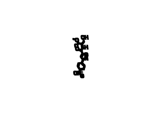 COC(=O)C(CO)NC(=O)c1cc(-c2ccc([N+](=O)[O-])cc2)no1